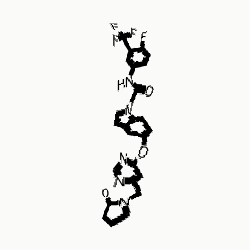 O=C1CCCN1Cc1cc(Oc2ccc3c(ccn3C(=O)Nc3ccc(F)c(C(F)(F)F)c3)c2)ncn1